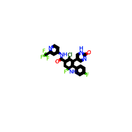 NC1(F)CC(C(=O)Nc2ccnc(C(F)(F)F)c2)=C(Cl)C(c2cnc(=O)[nH]c2)=C1c1ccc(F)cc1